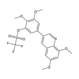 COc1cc(OC)c2ncc(-c3cc(OC)c(OC)c(OS(=O)(=O)C(F)(F)F)c3)cc2c1